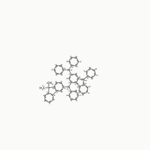 CC1(C)c2ccccc2-c2cc(N(c3ccccc3)c3cc(N(c4ccccc4)c4ccccc4)cc4c3c3ccccc3n4-c3ccccc3)ccc21